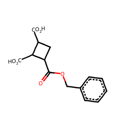 O=C(O)C1CC(C(=O)OCc2ccccc2)C1C(=O)O